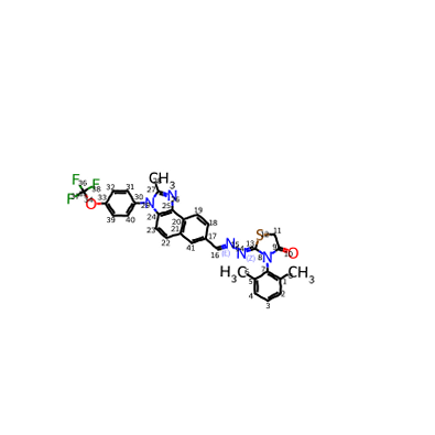 Cc1cccc(C)c1N1C(=O)CS/C1=N\N=C\c1ccc2c(ccc3c2nc(C)n3-c2ccc(OC(F)(F)F)cc2)c1